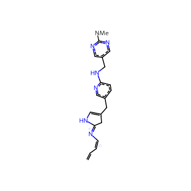 C=C/C=C\N=C1/CC(Cc2ccc(NCc3cnc(NC)nc3)nc2)=CN1